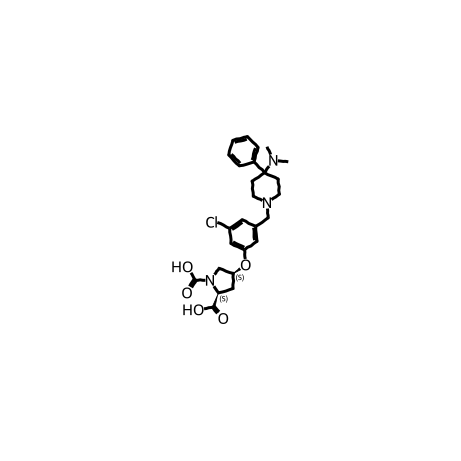 CN(C)C1(c2ccccc2)CCN(Cc2cc(Cl)cc(O[C@H]3C[C@@H](C(=O)O)N(C(=O)O)C3)c2)CC1